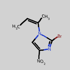 C/C=C(/C)n1cc([N+](=O)[O-])nc1Br